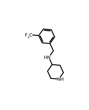 FC(F)(F)c1cccc(CNC2CCNCC2)c1